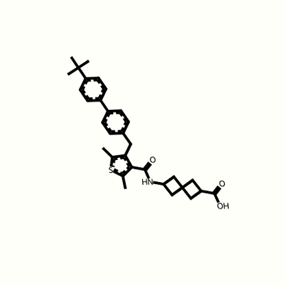 Cc1sc(C)c(C(=O)NC2CC3(C2)CC(C(=O)O)C3)c1Cc1ccc(-c2ccc(C(C)(C)C)cc2)cc1